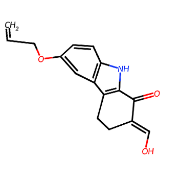 C=CCOc1ccc2[nH]c3c(c2c1)CCC(=CO)C3=O